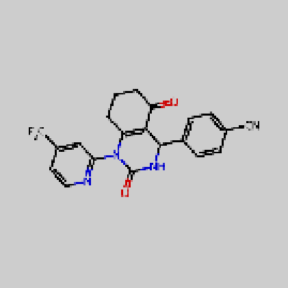 N#Cc1ccc(C2NC(=O)N(c3cc(C(F)(F)F)ccn3)C3=C2C(=O)CCC3)cc1